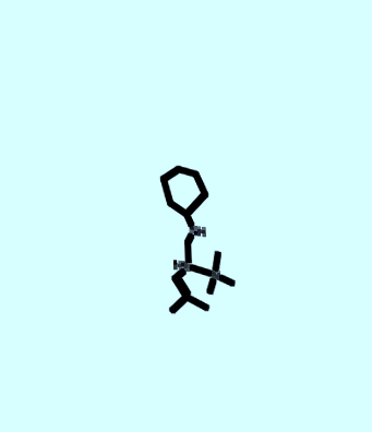 CC(C)=C[SiH](CNC1CCCCC1)[Si](C)(C)C